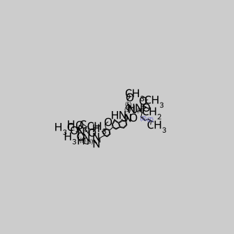 C=C(/C=C\C=C/C)[C@@H](NC(=O)OC)C(=O)N1C[C@@H](COC)C[C@H]1c1nc2ccc3cc4c(cc3c2[nH]1)OCc1cc(-c2cnc([C@@H]3CC[C@H](C)N3C(=O)[C@@H](NC(=O)OC)C(C)C)[nH]2)ccc1-4